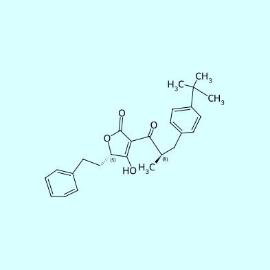 C[C@H](Cc1ccc(C(C)(C)C)cc1)C(=O)C1=C(O)[C@H](CCc2ccccc2)OC1=O